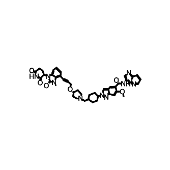 COc1cc2nn(C3CCC(CN4CCC(OCC#Cc5cccc6c5n(C)c(=O)n6C5CCC(=O)NC5=O)CC4)CC3)cc2cc1C(=O)Nc1cnc2cccnn12